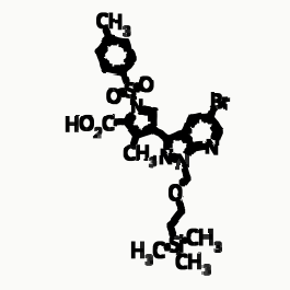 Cc1ccc(S(=O)(=O)n2cc(-c3nn(COCC[Si](C)(C)C)c4ncc(Br)cc34)c(C)c2C(=O)O)cc1